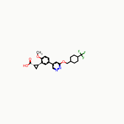 COc1ccc(-c2cnnc(OCC3CCC(C(F)(F)F)CC3)c2)cc1[C@H]1C[C@@H]1C(=O)O